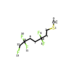 CC(=O)SCCC(F)(F)CCC(F)(F)CF